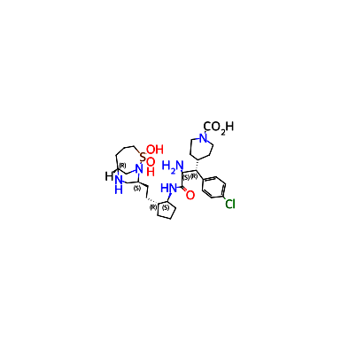 N[C@H](C(=O)N[C@H]1CCC[C@@H]1CC[C@H]1CN[C@@H]2CCCS(O)(O)N1C2)[C@@H](c1ccc(Cl)cc1)C1CCN(C(=O)O)CC1